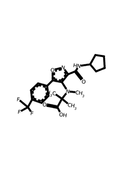 CN(c1c(C(=O)NC2CCCC2)noc1-c1ccc(C(F)(F)F)cc1)C(C)(C)C(=O)O